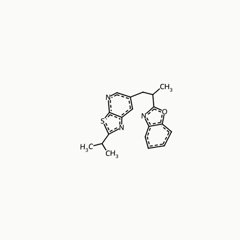 CC(C)c1nc2cc(CC(C)c3nc4ccccc4o3)cnc2s1